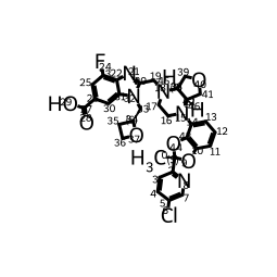 C[C@]1(c2ccc(Cl)cn2)Oc2cccc(N3CCN(Cc4nc5c(F)cc(C(=O)O)cc5n4C[C@@H]4CCO4)[C@H]4COC[C@H]43)c2O1